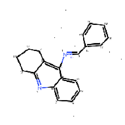 C(=N\c1c2c(nc3ccccc13)CCCC2)/c1ccccc1